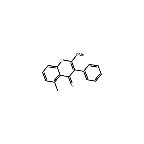 COc1oc2cccc(C)c2c(=O)c1-c1ccccc1